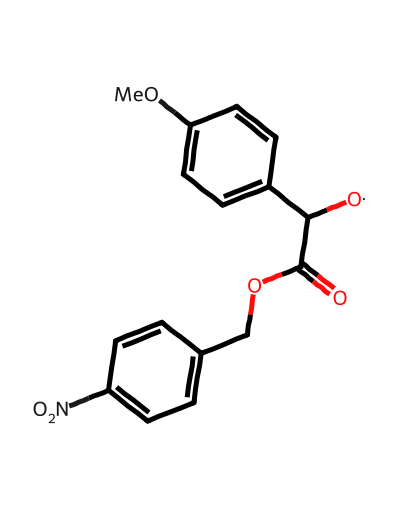 COc1ccc(C([O])C(=O)OCc2ccc([N+](=O)[O-])cc2)cc1